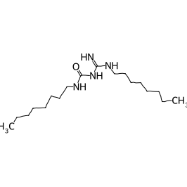 CCCCCCCCNC(=N)NC(=O)NCCCCCCCC